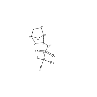 CC(F)(F)S(=O)(=O)OC1CC2CCC1C2